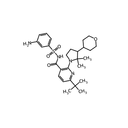 CC(C)(C)c1ccc(C(=O)NS(=O)(=O)c2cccc(N)c2)c(N2CCC(C3CCOCC3)C2(C)C)n1